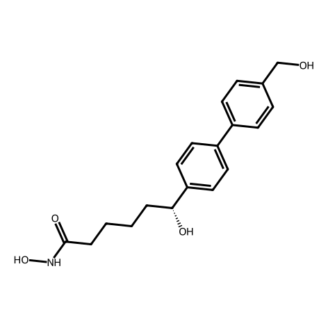 O=C(CCCC[C@@H](O)c1ccc(-c2ccc(CO)cc2)cc1)NO